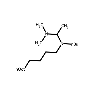 CCCCCCCCCCCCN(CCCC)C(C)N(C)C